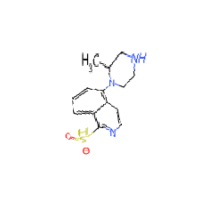 CC1CNCCN1c1cccc2c([SH](=O)=O)nccc12